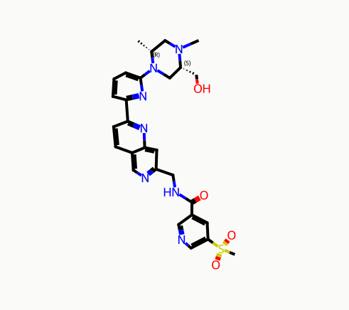 C[C@@H]1CN(C)[C@H](CO)CN1c1cccc(-c2ccc3cnc(CNC(=O)c4cncc(S(C)(=O)=O)c4)cc3n2)n1